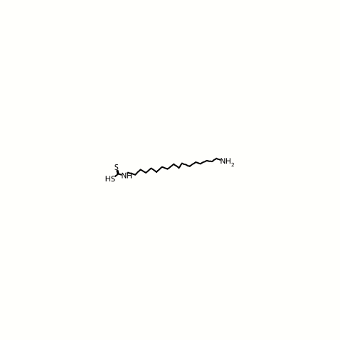 NCCCCCCCCCCCCCCCCCNC(=S)S